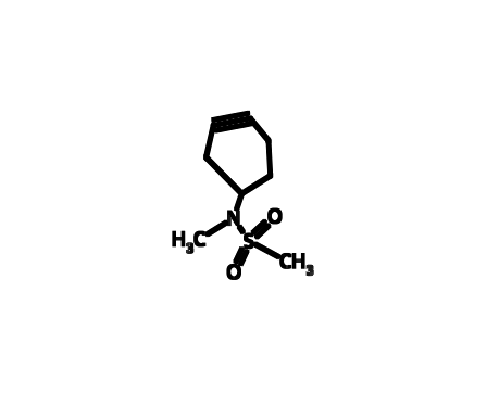 CN(C1CC#CCC1)S(C)(=O)=O